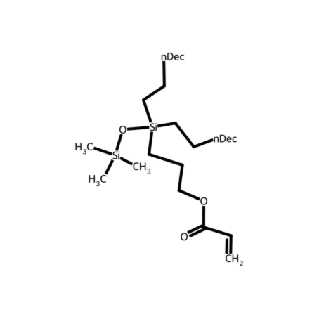 C=CC(=O)OCCC[Si](CCCCCCCCCCCC)(CCCCCCCCCCCC)O[Si](C)(C)C